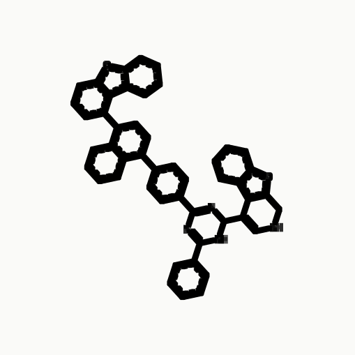 C1=C(C2N=C(c3ccc(-c4ccc(-c5cccc6oc7ccccc7c56)c5ccccc45)cc3)N=C(c3ccccc3)N2)c2c(oc3ccccc23)CN1